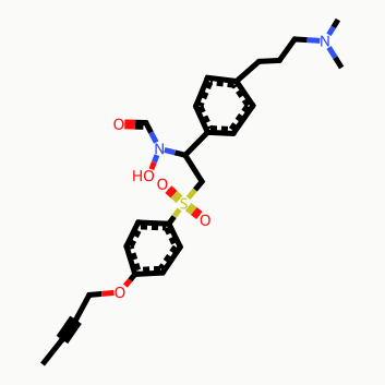 CC#CCOc1ccc(S(=O)(=O)CC(c2ccc(CCCN(C)C)cc2)N(O)C=O)cc1